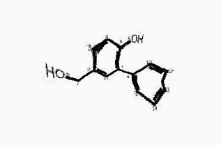 OCc1ccc(O)c(-c2ccccc2)c1